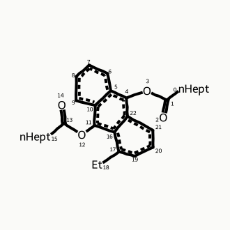 CCCCCCCC(=O)Oc1c2ccccc2c(OC(=O)CCCCCCC)c2c(CC)cccc12